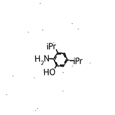 CC(C)c1cc(O)c(N)c(C(C)C)c1